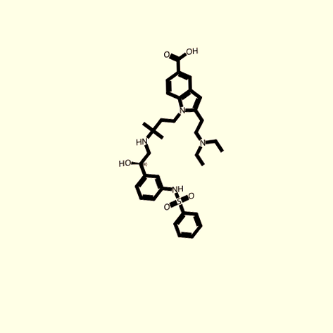 CCN(CC)CCc1cc2cc(C(=O)O)ccc2n1CCC(C)(C)NC[C@H](O)c1cccc(NS(=O)(=O)c2ccccc2)c1